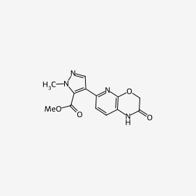 COC(=O)c1c(-c2ccc3c(n2)OCC(=O)N3)cnn1C